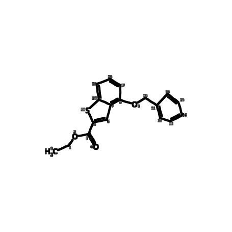 CCOC(=O)c1cc2c(OCc3ccccc3)cccc2s1